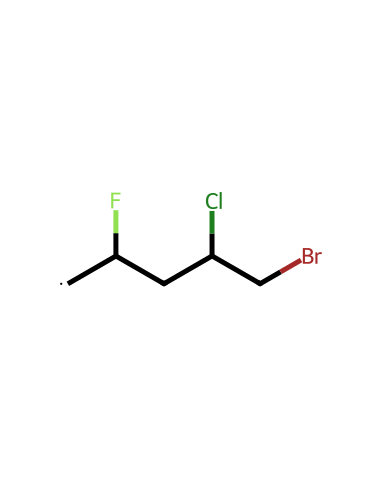 [CH2]C(F)CC(Cl)CBr